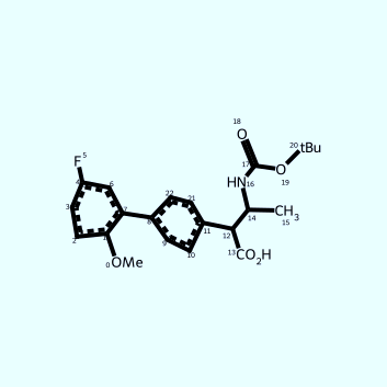 COc1ccc(F)cc1-c1ccc(C(C(=O)O)C(C)NC(=O)OC(C)(C)C)cc1